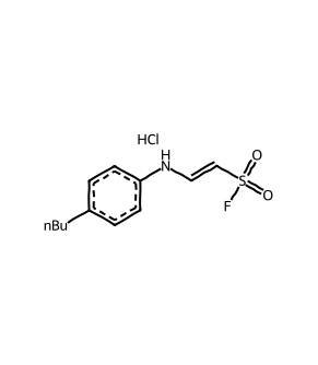 CCCCc1ccc(N/C=C/S(=O)(=O)F)cc1.Cl